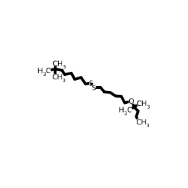 CCCC(C)(C)OCCCCCCSSCCCCCCC(C)(C)C